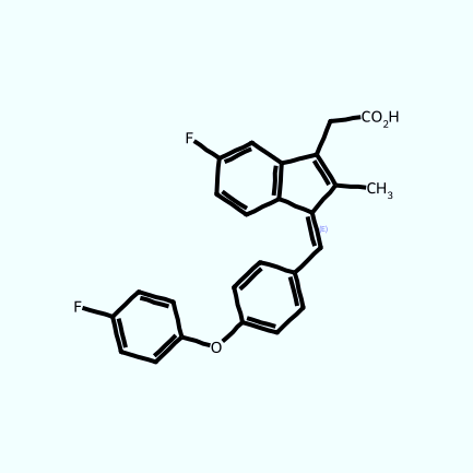 CC1=C(CC(=O)O)c2cc(F)ccc2/C1=C\c1ccc(Oc2ccc(F)cc2)cc1